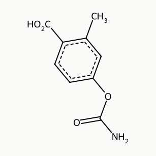 Cc1cc(OC(N)=O)ccc1C(=O)O